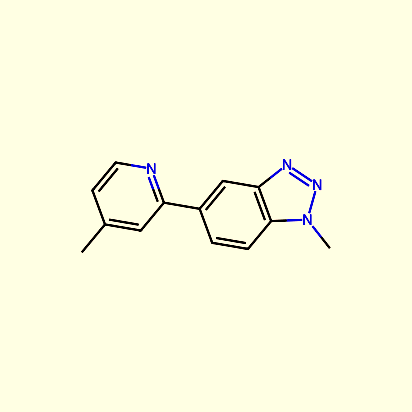 Cc1ccnc(-c2ccc3c(c2)nnn3C)c1